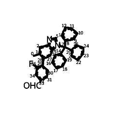 Cc1cc2ncn(C(c3ccccc3)(c3ccccc3)c3ccccc3)c2cc1-c1ccc(C=O)cc1F